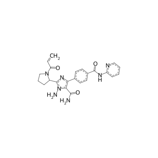 C=CC(=O)N1CCCC1c1nc(-c2ccc(C(=O)Nc3ccccn3)cc2)c(C(N)=O)n1N